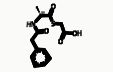 C[C@@H](NC(=O)Cc1ccccc1)C(=O)SCC(=O)O